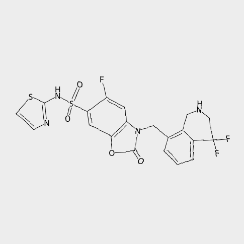 O=c1oc2cc(S(=O)(=O)Nc3nccs3)c(F)cc2n1Cc1cccc2c1CNCC2(F)F